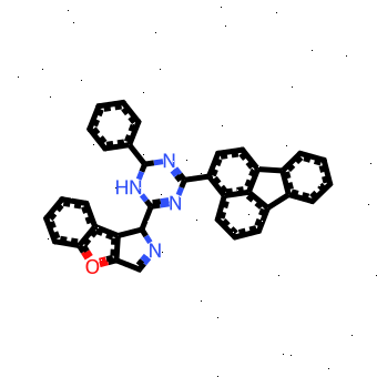 C1=NC(C2=NC(c3ccc4c5c(cccc35)-c3ccccc3-4)=NC(c3ccccc3)N2)c2c1oc1ccccc21